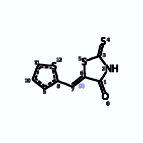 O=C1NC(=S)S/C1=C\c1cccs1